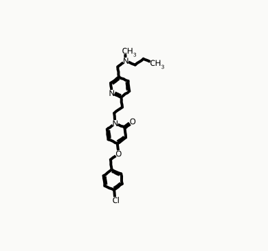 CCCN(C)Cc1ccc(CCn2ccc(OCc3ccc(Cl)cc3)cc2=O)nc1